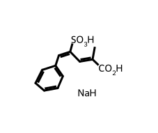 CC(=CC(=Cc1ccccc1)S(=O)(=O)O)C(=O)O.[NaH]